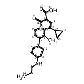 Cc1c(-c2ccc(NCCN)cc2)ccn2c(=O)c(C(=O)O)cc(C3CC3)c12